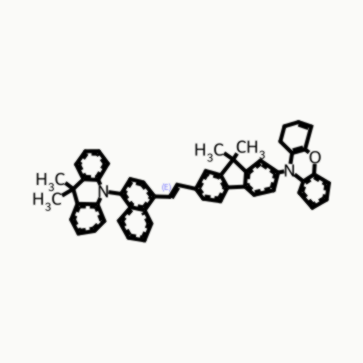 CC1(C)c2cc(/C=C/c3ccc(N4c5ccccc5C(C)(C)c5ccccc54)c4ccccc34)ccc2-c2ccc(N3C4=C(C=CCC4)Oc4ccccc43)cc21